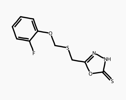 Fc1ccccc1OCSCc1n[nH]c(=S)o1